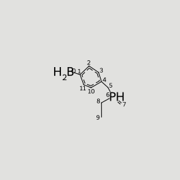 Bc1ccc(C[PH](=C)CC)cc1